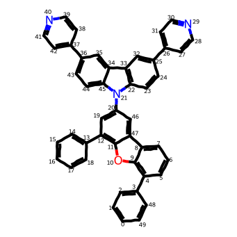 c1ccc(-c2cccc3c2oc2c(-c4ccccc4)cc(-n4c5ccc(-c6ccncc6)cc5c5cc(-c6ccncc6)ccc54)cc23)cc1